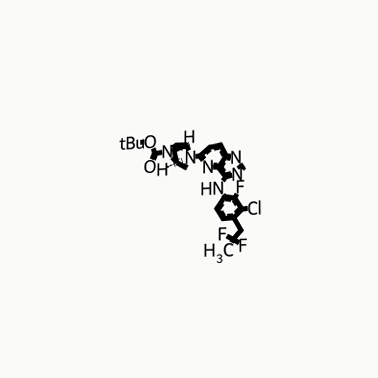 CC(F)(F)Cc1ccc(Nc2ncnc3ccc(N4C[C@@H]5C[C@H]4CN5C(=O)OC(C)(C)C)nc23)c(F)c1Cl